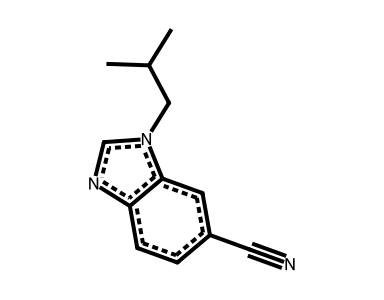 CC(C)Cn1cnc2ccc(C#N)cc21